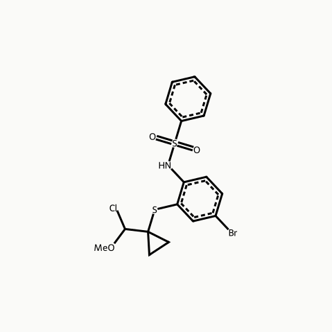 COC(Cl)C1(Sc2cc(Br)ccc2NS(=O)(=O)c2ccccc2)CC1